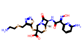 NCCSCc1nnsc1SC1(C(=O)O)CS[C@@H]2[C@H](NC(=O)C(=NO)c3cccc(N)n3)C(=O)N2C1